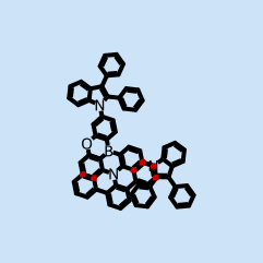 c1ccc(-c2cccc(-c3ccccc3)c2N2c3cc(-n4c(-c5ccccc5)c(-c5ccccc5)c5ccccc54)ccc3B3c4ccc(-n5c(-c6ccccc6)c(-c6ccccc6)c6ccccc65)cc4Oc4cccc2c43)cc1